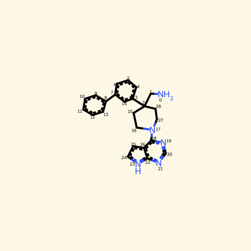 NCC1(c2cccc(-c3ccccc3)c2)CCN(c2ncnc3[nH]ccc23)CC1